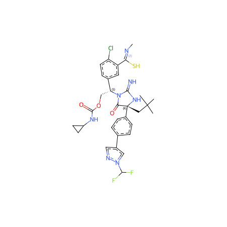 C/N=C(\S)c1cc([C@@H](COC(=O)NC2CC2)N2C(=N)N[C@](CC(C)(C)C)(c3ccc(-c4cnn(C(F)F)c4)cc3)C2=O)ccc1Cl